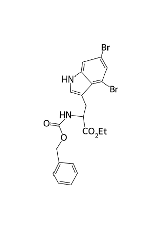 CCOC(=O)C(Cc1c[nH]c2cc(Br)cc(Br)c12)NC(=O)OCc1ccccc1